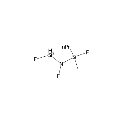 CCC[Si](C)(F)N(F)[SiH2]F